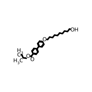 CCC(C)COC(=O)c1ccc(-c2ccc(OCCCCCCCCCCO)cc2)cc1